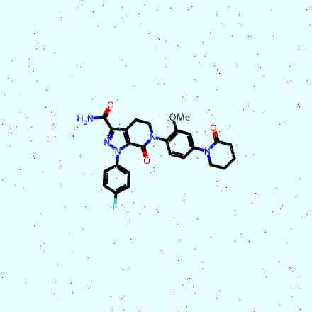 COc1cc(N2CCCCC2=O)ccc1N1CCc2c(C(N)=O)nn(-c3ccc(F)cc3)c2C1=O